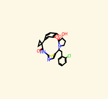 O=C1Nc2ncc(s2)C(Cc2ccccc2Cl)N2CC[C@@H](O)C23Oc2ccc(cc2O3)C12CC2